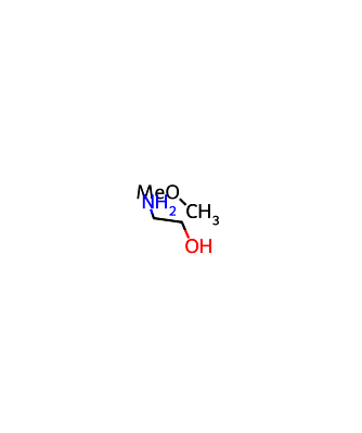 COC.NCCO